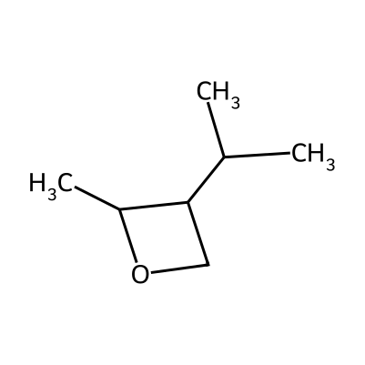 CC(C)C1COC1C